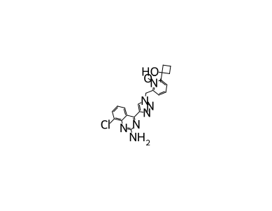 Nc1nc(-c2cn(Cc3cccc(C4(O)CCC4)[n+]3[O-])nn2)c2cccc(Cl)c2n1